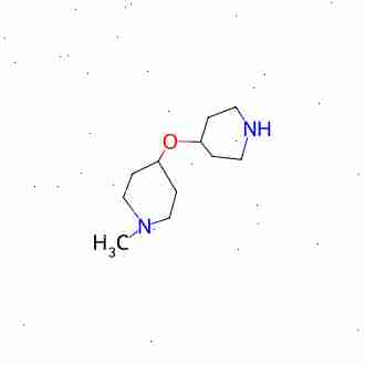 CN1CCC(OC2CCNCC2)CC1